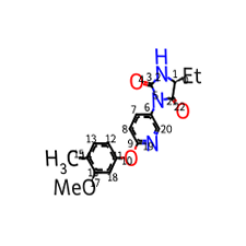 CC[C@@H]1NC(=O)N(c2ccc(Oc3ccc(C)c(OC)c3)nc2)C1=O